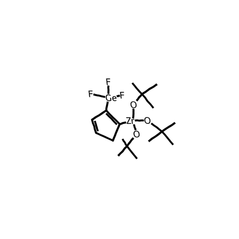 CC(C)(C)[O][Zr]([O]C(C)(C)C)([O]C(C)(C)C)[C]1=[C]([Ge]([F])([F])[F])C=CC1